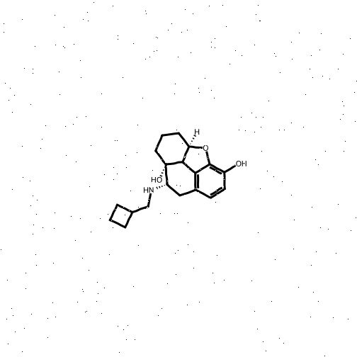 Oc1ccc2c3c1O[C@@H]1CCC[C@@](O)(C31)[C@@H](NCC1CCC1)C2